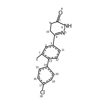 Cc1cc(C2=NNC(=O)CC2)ccc1-c1ccc(Cl)cc1